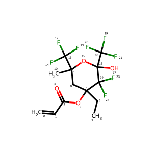 C=CC(=O)OC1(CC)CC(C)(C(F)(F)F)OC(O)(C(F)(F)F)C1(F)F